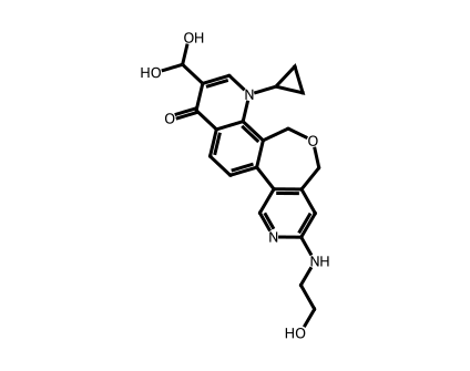 O=c1c(C(O)O)cn(C2CC2)c2c3c(ccc12)-c1cnc(NCCO)cc1COC3